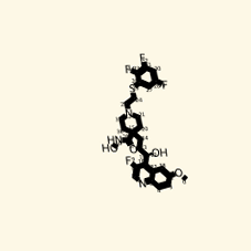 COc1ccc2ncc(F)c([C@H](O)CCC3(C(=O)NO)CCN(CCSc4cc(F)cc(F)c4F)CC3)c2c1